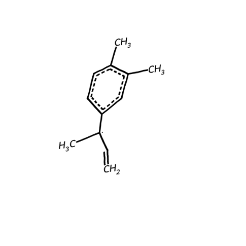 C=C[C](C)c1ccc(C)c(C)c1